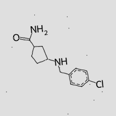 NC(=O)C1CCC(NCc2ccc(Cl)cc2)C1